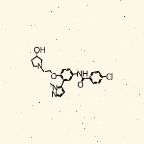 Cn1nccc1-c1cc(NC(=O)c2ccc(Cl)cc2)ccc1OCCN1CC[C@@H](O)C1